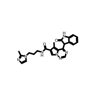 Cc1c(C(=O)NCCCn2ccnc2C)cn2ncnc(C3C(=O)Nc4ccccc43)c12